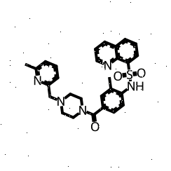 Cc1cccc(CN2CCN(C(=O)c3ccc(NS(=O)(=O)c4cccc5cccnc45)c(C)c3)CC2)n1